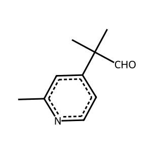 Cc1cc(C(C)(C)C=O)ccn1